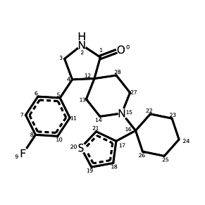 O=C1NCC(c2ccc(F)cc2)C12CCN(C1(c3ccsc3)CCCCC1)CC2